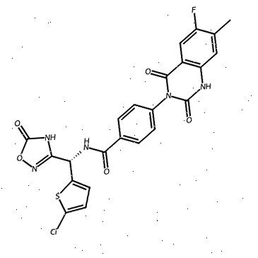 Cc1cc2[nH]c(=O)n(-c3ccc(C(=O)N[C@@H](c4noc(=O)[nH]4)c4ccc(Cl)s4)cc3)c(=O)c2cc1F